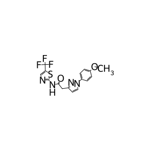 COc1ccc(-n2ccc(CC(=O)Nc3ncc(C(F)(F)F)s3)n2)cc1